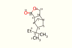 CCC(C)(C)C1CC2CC1C1C(=O)OCC21